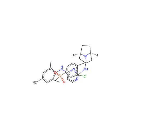 Cc1cc(C#N)cc(C)c1Nc1ccnc(NC2C[C@H]3CC[C@@H](C2)N3Cc2ccc(S(C)(=O)=O)cc2Cl)n1